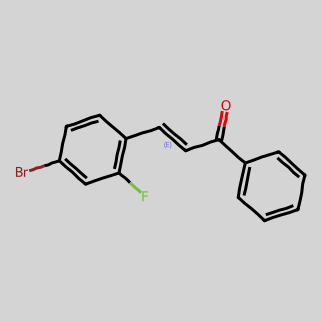 O=C(/C=C/c1ccc(Br)cc1F)c1ccccc1